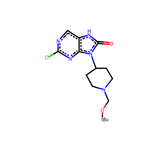 CC(C)(C)OCN1CCC(n2c(=O)[nH]c3cnc(Cl)nc32)CC1